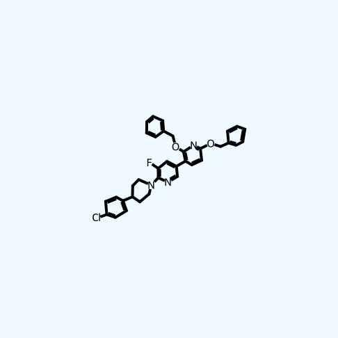 Fc1cc(-c2ccc(OCc3ccccc3)nc2OCc2ccccc2)cnc1N1CCC(c2ccc(Cl)cc2)CC1